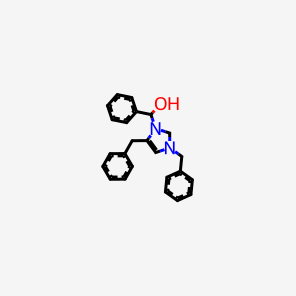 OC(c1ccccc1)N1CN(Cc2ccccc2)C=C1Cc1ccccc1